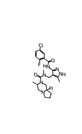 Cc1[nH]nc(NC(=O)c2cc(Cl)ccc2F)c1CN(C)C(=O)N1C[C@@H]2CCCN2CC1C